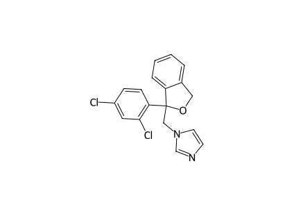 Clc1ccc(C2(Cn3ccnc3)OCc3ccccc32)c(Cl)c1